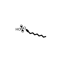 CCCCCCCCC#COS(=O)(=O)O